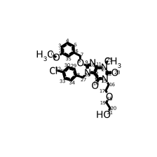 COc1cccc(COc2nc3c(c(=O)n(CCOCCO)c(=O)n3C)n2Cc2ccc(Cl)cc2)c1